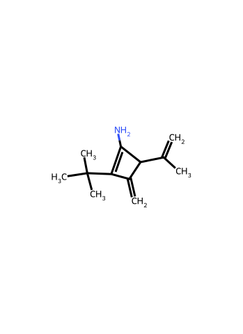 C=C(C)C1C(=C)C(C(C)(C)C)=C1N